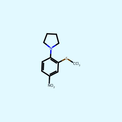 O=[N+]([O-])c1ccc(N2CCCC2)c(SC(Cl)(Cl)Cl)c1